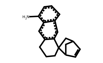 Nc1cccc2cc3c(cc12)CCCC31CC2C=CC1C2